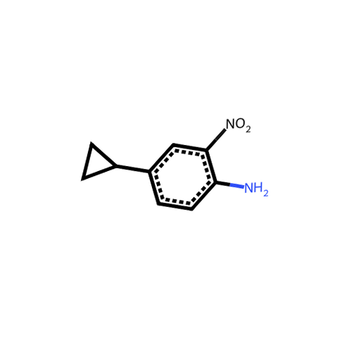 Nc1ccc(C2CC2)cc1[N+](=O)[O-]